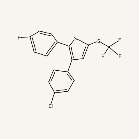 Fc1ccc(-c2sc(SC(F)(F)F)cc2-c2ccc(Cl)cc2)cc1